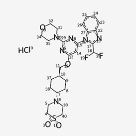 Cl.O=S1(=O)CCN([C@H]2CC[C@H](COc3cc(-n4c(C(F)F)nc5ccccc54)nc(N4CCOCC4)n3)CC2)CC1